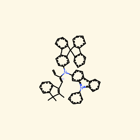 C=C/C(=C\C1=C(C)C(C)(C)c2ccccc21)N(c1ccc2c(c1)C1(c3ccccc3-c3ccccc31)c1ccccc1-2)c1ccc2c3ccccc3n(-c3ccccc3)c2c1